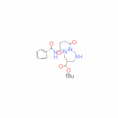 CC(C)(C)OC(=O)C1CNCN2C(=O)CCC(NC(=O)c3ccccc3)[N+]2([O-])C1